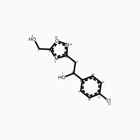 OCc1nc(CC(O)c2ccc(Cl)cc2)no1